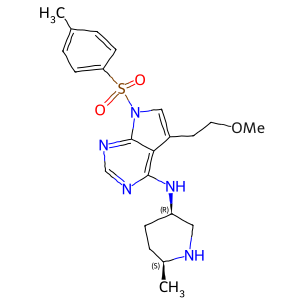 COCCc1cn(S(=O)(=O)c2ccc(C)cc2)c2ncnc(N[C@@H]3CC[C@H](C)NC3)c12